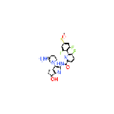 COSc1cc(F)c(-c2nc(C(=O)Nc3cnc4c(c3N3CCC[C@H](N)C3)CC[C@@H]4O)ccc2F)c(F)c1